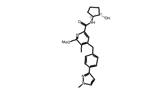 COc1nc(C(=O)N[C@H]2CCC[C@@H]2O)cc(Cc2ccc(-c3ccn(C)n3)cc2)c1C